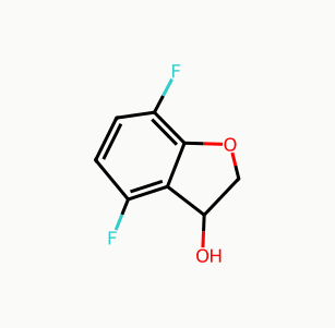 OC1COc2c(F)ccc(F)c21